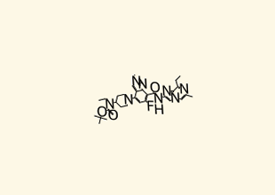 CCc1nc(C)cn2cc(NC(=O)c3c(F)cc(N4CCC(N(CC)C(=O)OC(C)(C)C)CC4)c4cn(C)nc34)nc12